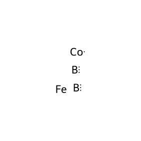 [B].[B].[Co].[Fe]